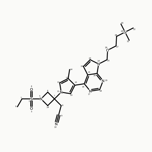 CCS(=O)(=O)N1CC(CC#N)(n2cc(C)c(-c3ncnc4c3ccn4COCC[Si](C)(C)C)c2)C1